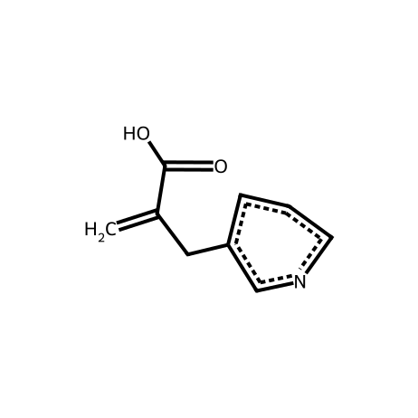 C=C(Cc1cccnc1)C(=O)O